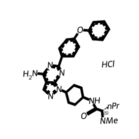 CCC[C@H](NC)C(=O)NC1CCC(n2ncc3c(N)nc(-c4ccc(Oc5ccccc5)cc4)nc32)CC1.Cl